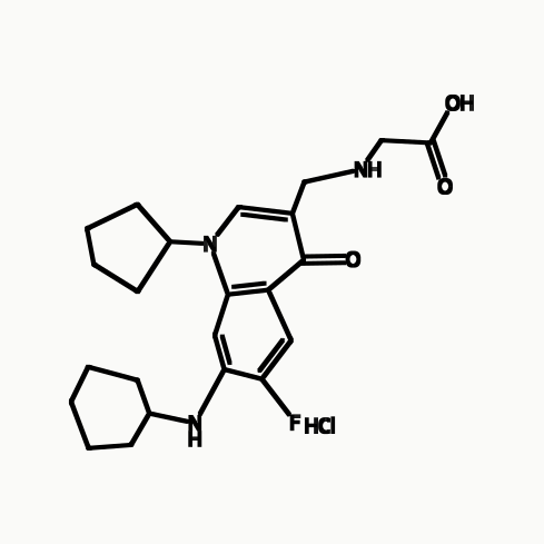 Cl.O=C(O)CNCc1cn(C2CCCC2)c2cc(NC3CCCCC3)c(F)cc2c1=O